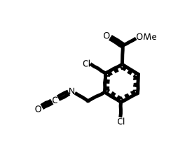 COC(=O)c1ccc(Cl)c(CN=C=O)c1Cl